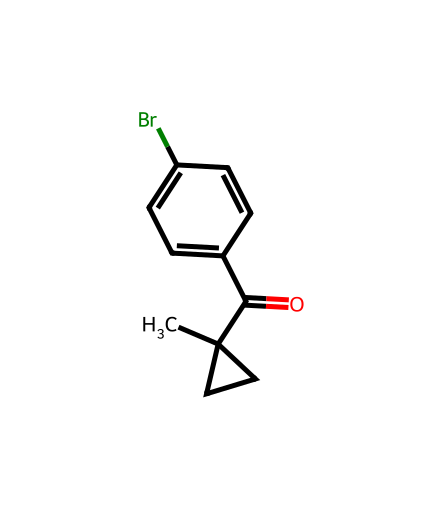 CC1(C(=O)c2ccc(Br)cc2)CC1